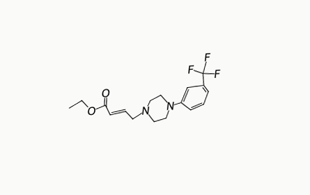 CCOC(=O)C=CCN1CCN(c2cccc(C(F)(F)F)c2)CC1